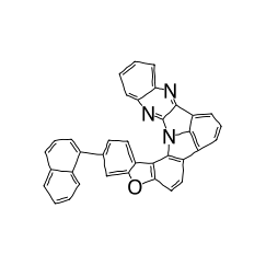 c1ccc2c(-c3ccc4c(c3)oc3ccc5c6cccc7c8nc9ccccc9nc8n(c67)c5c34)cccc2c1